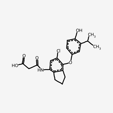 CC(C)c1cc(Oc2c(Cl)cc(NC(=O)CC(=O)O)c3c2CCC3)ccc1O